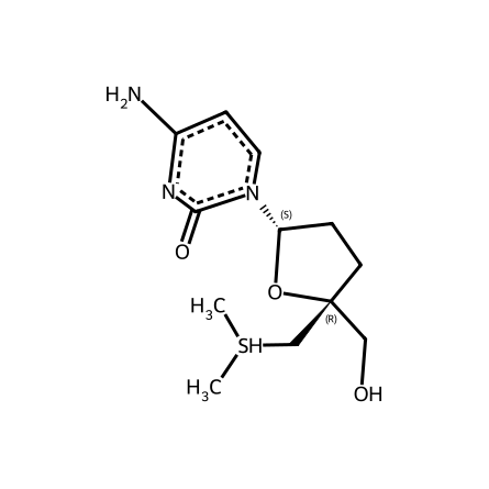 C[SH](C)C[C@]1(CO)CC[C@@H](n2ccc(N)nc2=O)O1